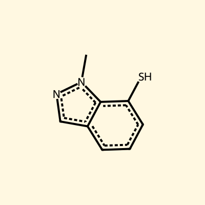 Cn1ncc2cccc(S)c21